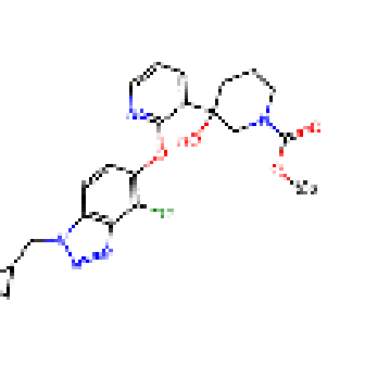 CC(C)(C)OC(=O)N1CCCC(O)(c2cccnc2Oc2ccc3c(nnn3CC3CC3)c2Cl)C1